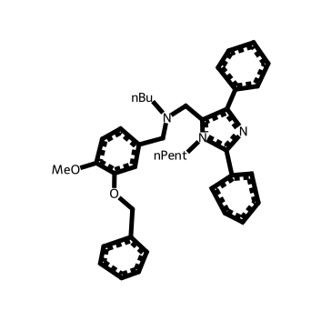 CCCCCn1c(-c2ccccc2)nc(-c2ccccc2)c1CN(CCCC)Cc1ccc(OC)c(OCc2ccccc2)c1